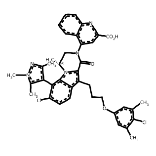 Cc1cc(OCCCc2c3n(c4c(-c5c(C)nn(C)c5C)c(Cl)ccc24)[C@H](C)CN(c2cc(C(=O)O)nc4ccccc24)C3=O)cc(C)c1Cl